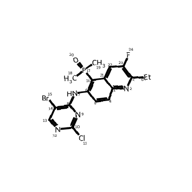 CCc1nc2ccc(Nc3nc(Cl)ncc3Br)c(P(C)(C)=O)c2cc1F